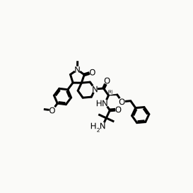 COc1ccc(C2CN(C)C(=O)C23CCCN(C(=O)[C@@H](COCc2ccccc2)NC(=O)C(C)(C)N)C3)cc1